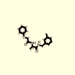 Cc1cccc(CNC(=O)C(C)NC(=O)COc2ccccc2)c1